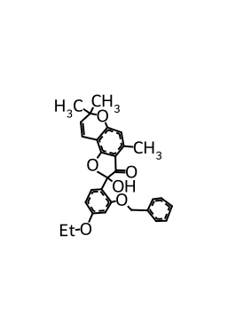 CCOc1ccc(C2(O)COc3c4c(cc(C)c3C2=O)OC(C)(C)C=C4)c(OCc2ccccc2)c1